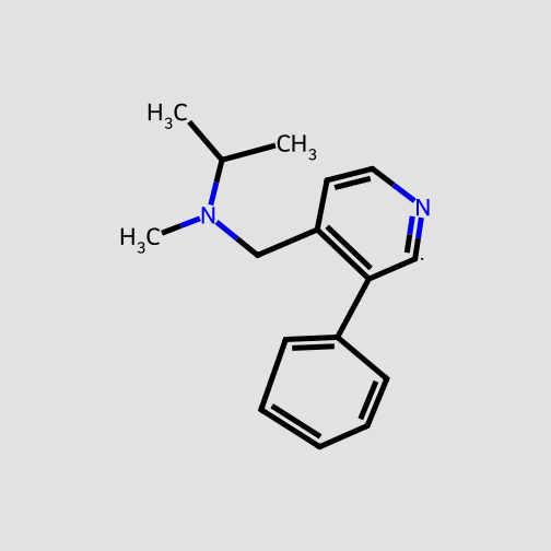 CC(C)N(C)Cc1ccn[c]c1-c1ccccc1